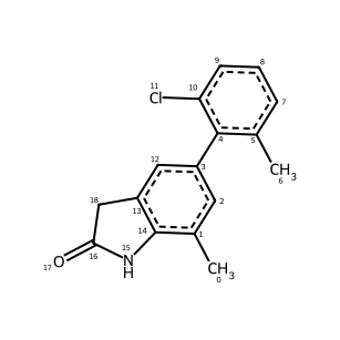 Cc1cc(-c2c(C)cccc2Cl)cc2c1NC(=O)C2